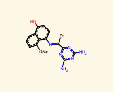 CC/C(=N\c1ccc(O)c2cccc(OC)c12)c1nc(N)nc(N)n1